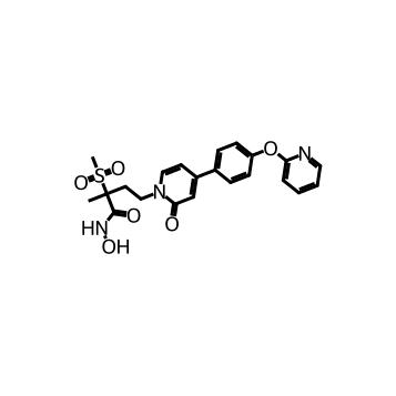 CC(CCn1ccc(-c2ccc(Oc3ccccn3)cc2)cc1=O)(C(=O)NO)S(C)(=O)=O